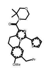 COc1cc2c(cc1CC(C)C)-n1c(-c3cccs3)nc(C(=O)N3CCOCC3(C)C)c1CC2